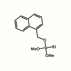 CC[Si](OC)(OC)OCc1cccc2ccccc12